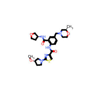 CO[C@H]1CCN(c2nc(C(=O)Nc3ccc(CN4CCO[C@@H](C)C4)cc3C(=O)N[C@H]3CCOC3)cs2)C1